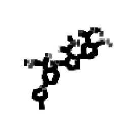 CNC(=O)C1C(Nc2ccc(N3CCC(C)C3)cc2C(N)=O)CCN1c1ccc(N)c(C(N)=O)c1